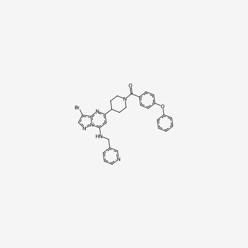 O=C(c1ccc(Oc2ccccc2)cc1)N1CCC(c2cc(NCc3cccnc3)n3ncc(Br)c3n2)CC1